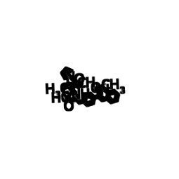 CCC(CC)(C(=O)N[C@@H](Cc1ccc(-c2cc3ccccc3n(C)c2=O)cc1)C(=O)O)C(=O)N1CCCC1